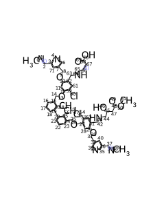 C/N=C/c1cncc(COc2cc(OCc3cccc(-c4cccc(COc5cc(OCc6cncc(/C=N/C)c6)c(CNCC(O)CC(=O)OC)cc5Cl)c4C)c3C)c(Cl)cc2CNC/C=C\C(=O)O)c1